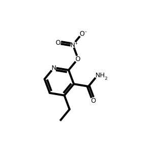 CCc1ccnc(O[N+](=O)[O-])c1C(N)=O